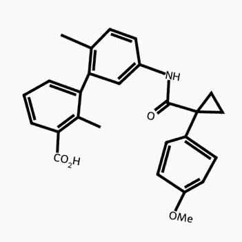 COc1ccc(C2(C(=O)Nc3ccc(C)c(-c4cccc(C(=O)O)c4C)c3)CC2)cc1